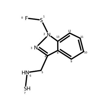 FSn1nc(CNS)c2ccccc21